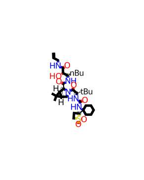 C=CCNC(=O)C(O)[C@H](CCCC)NC(=O)[C@@H]1[C@@H]2[C@H](CN1C(=O)[C@@H](NC(=O)NC1([C@@H]3CCS3(=O)=O)CCCCC1)C(C)(C)C)C2(C)C